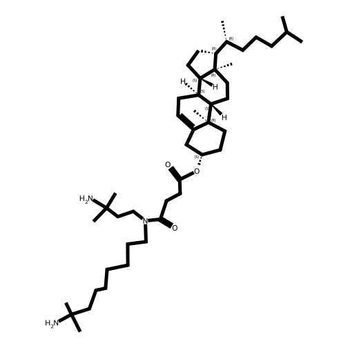 CC(C)CCC[C@@H](C)[C@H]1CC[C@H]2[C@@H]3CC=C4C[C@@H](OC(=O)CCC(=O)N(CCCCCCCC(C)(C)N)CCC(C)(C)N)CC[C@]4(C)[C@H]3CC[C@]12C